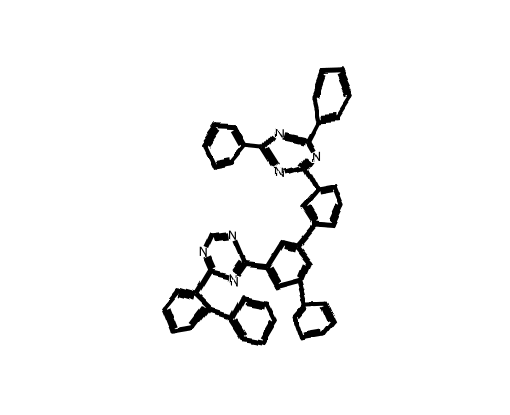 c1ccc(-c2cc(-c3cccc(-c4nc(-c5ccccc5)nc(-c5ccccc5)n4)c3)cc(-c3ncnc(-c4ccccc4-c4ccccc4)n3)c2)cc1